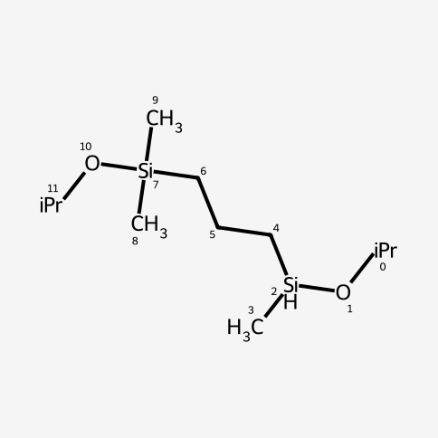 CC(C)O[SiH](C)CCC[Si](C)(C)OC(C)C